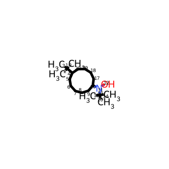 CC(C)(C)C1CCCCCC(N(O)C(C)(C)C)CCCC1